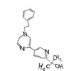 CC(C)(O)c1ccc(C2=CN(CCc3ccccc3)CC=N2)cn1